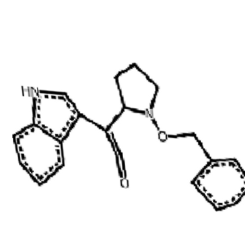 O=C=C(c1c[nH]c2ccccc12)C1CCCN1OCc1ccccc1